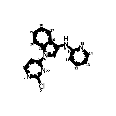 Clc1nccc(-n2cc(Nc3ccccn3)c3ccccc32)n1